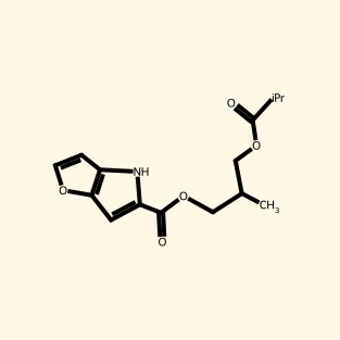 CC(COC(=O)c1cc2occc2[nH]1)COC(=O)C(C)C